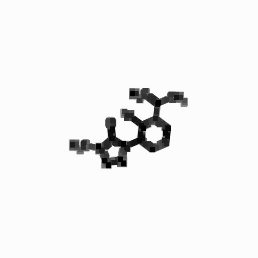 [3H]c1c(C(=C)C)cccc1-n1nnn(C)c1=O